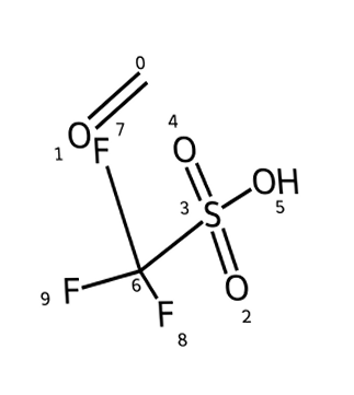 C=O.O=S(=O)(O)C(F)(F)F